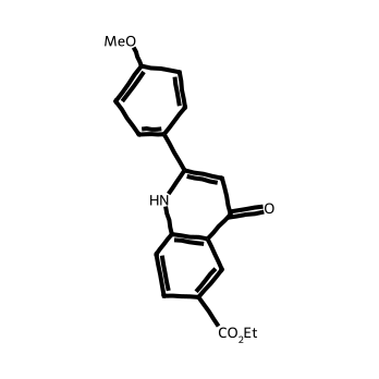 CCOC(=O)c1ccc2[nH]c(-c3ccc(OC)cc3)cc(=O)c2c1